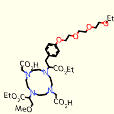 CCOCCOCCOCCOc1ccc(CC(C(=O)OCC)N2CCN(CC(=O)O)CCN(C(COC)C(=O)OCC)CCN(CC(=O)O)CC2)cc1